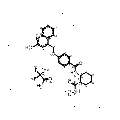 Cc1cc(COc2ccc(C(=O)N[C@H]3CCCC[C@H]3C(=O)NO)cc2)c2ccccc2n1.O=C(O)C(F)(F)F